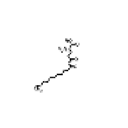 CCCCCCCCCCCC(=O)OC(=O)CC[C@H](N)C(=O)O